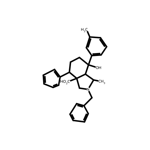 Cc1cccc(C2(O)CCC(c3ccccc3)C3(C(=O)O)CN(Cc4ccccc4)C(C)C23)c1